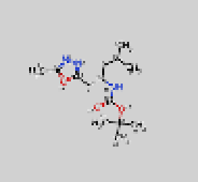 Cc1nnc(C[C@H](CC(C)C)NC(=O)OC(C)(C)C)o1